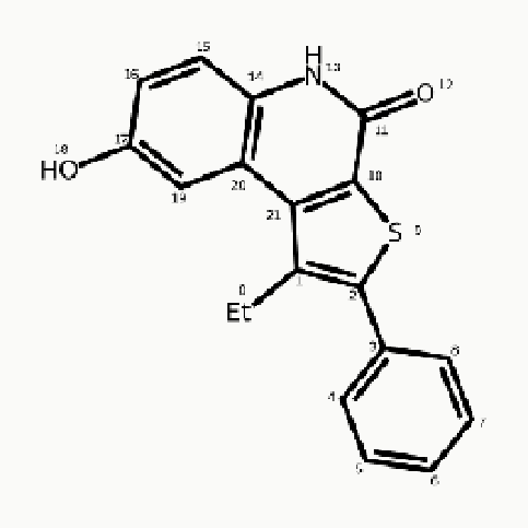 CCc1c(-c2ccccc2)sc2c(=O)[nH]c3ccc(O)cc3c12